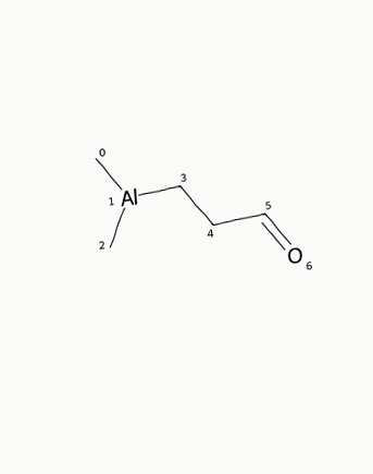 [CH3][Al]([CH3])[CH2]CC=O